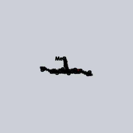 C=CC(=O)OCCCCCCOc1ccc(CC(=O)[C@H]2CC[C@H](C(=O)Oc3ccc(OC(=O)[C@H]4CC[C@H](C(=O)Oc5ccc(OCCCCCCOC(=O)C=C)cc5)CC4)c(OCCOCCOCCOC)c3)CC2)cc1